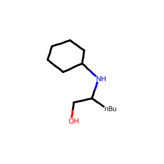 CCCCC(CO)NC1CCCCC1